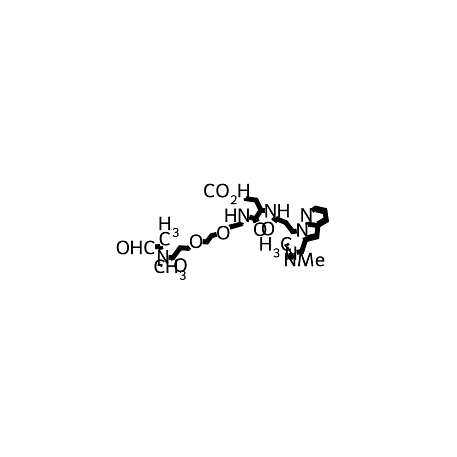 CNN(C)Cc1cc2cccnc2n1CCC(=O)NC(CCC(=O)O)C(=O)NCCOCCOCCC(=O)N(C)C(C)C=O